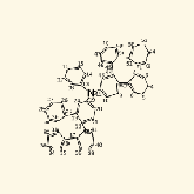 C1=C2C3=CCCC=C3c3ccc(N(c4ccccc4)c4ccc5c(c4)-c4ccccc4-c4ccccc4-c4ccccc4-5)cc3-c3ccccc3C2=CCC1